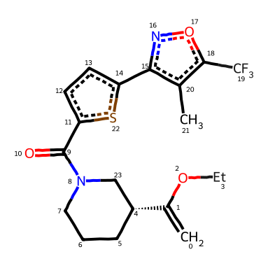 C=C(OCC)[C@@H]1CCCN(C(=O)c2ccc(-c3noc(C(F)(F)F)c3C)s2)C1